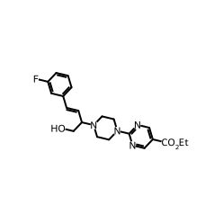 CCOC(=O)c1cnc(N2CCN(C(/C=C/c3cccc(F)c3)CO)CC2)nc1